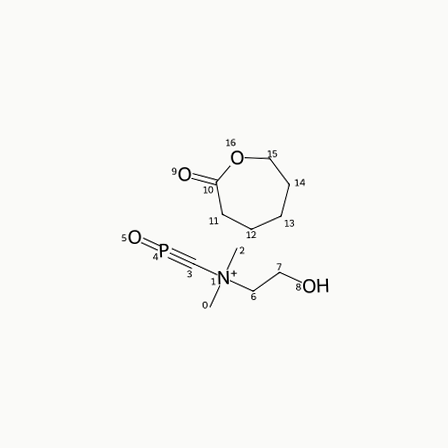 C[N+](C)(C#P=O)CCO.O=C1CCCCCO1